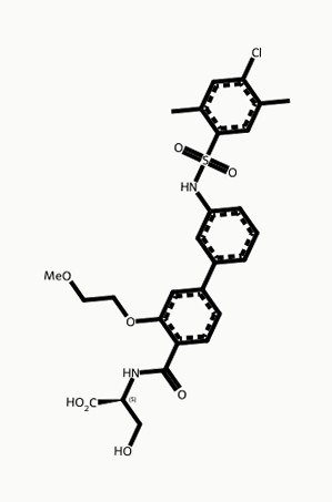 COCCOc1cc(-c2cccc(NS(=O)(=O)c3cc(C)c(Cl)cc3C)c2)ccc1C(=O)N[C@@H](CO)C(=O)O